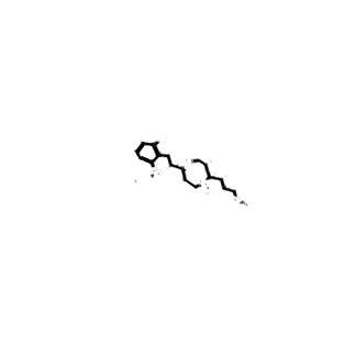 CCN1CCC(CCc2c(F)cccc2NC=O)NCCC1CCCSO